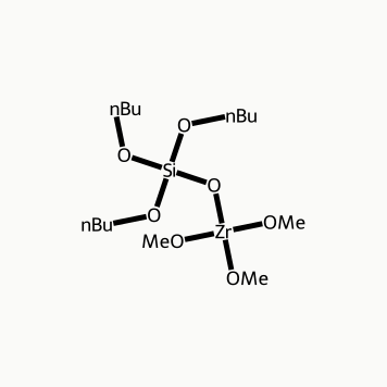 CCCCO[Si](OCCCC)(OCCCC)[O][Zr]([O]C)([O]C)[O]C